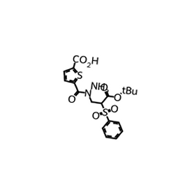 CC(C)(C)OC(=O)C(CN(N)C(=O)c1ccc(C(=O)O)s1)S(=O)(=O)c1ccccc1